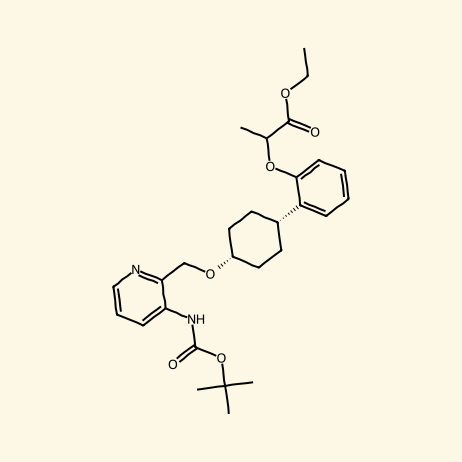 CCOC(=O)C(C)Oc1ccccc1[C@H]1CC[C@@H](OCc2ncccc2NC(=O)OC(C)(C)C)CC1